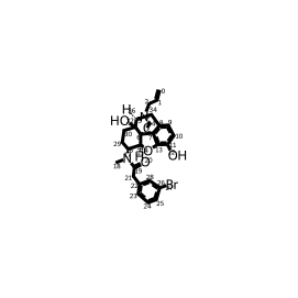 C=CCN1CC[C@]23c4c5ccc(O)c4O[C@H]2[C@@H](N(C)C(=O)Cc2cccc(Br)c2)CCC3(O)[C@H]1C5